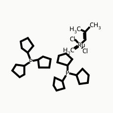 C1CCC(P(C2CCCC2)C2CCCC2)C1.C1CCC(P(C2CCCC2)C2CCCC2)C1.[CH2]=[Ru]([Cl])([Cl])[CH]=C(C)C